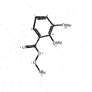 [CH2]CCCOOC(=O)c1cccc(OC)c1OC